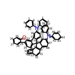 c1ccc(N(c2ccccc2)c2ccc3c(c2)-c2c(ccc4c2oc2ccccc24)C32c3cc(N(c4ccccc4)c4ccccc4)ccc3-c3ccc4ccccc4c32)cc1